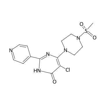 CS(=O)(=O)N1CCN(c2nc(-c3ccncc3)[nH]c(=O)c2Cl)CC1